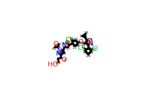 O=C(CCO)c1cc(C2=NOC(c3ccc(OCc4c(-c5c(Cl)cccc5Cl)noc4C4CC4)cc3Cl)C2)n(C2COC2)n1